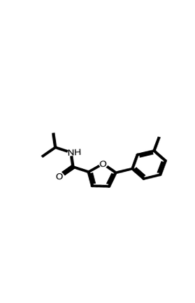 Cc1cccc(-c2ccc(C(=O)NC(C)C)o2)c1